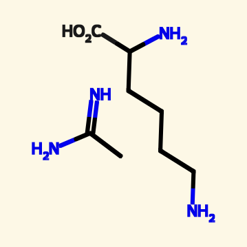 CC(=N)N.NCCCCC(N)C(=O)O